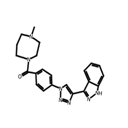 CN1CCCN(C(=O)c2ccc(-n3cc(-c4n[nH]c5ccccc45)nn3)cc2)CC1